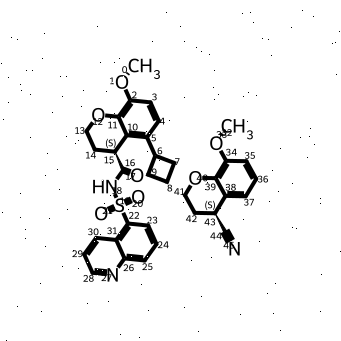 COc1ccc(C2CCC2)c2c1OCC[C@@H]2C(=O)NS(=O)(=O)c1cccc2ncccc12.COc1cccc2c1OCC[C@@H]2C#N